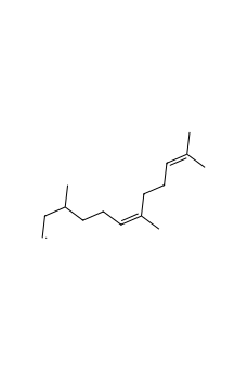 [CH2]CC(C)CCC=C(C)CCC=C(C)C